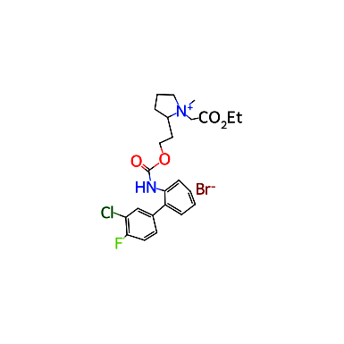 CCOC(=O)C[N+]1(C)CCCC1CCOC(=O)Nc1ccccc1-c1ccc(F)c(Cl)c1.[Br-]